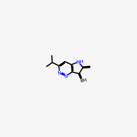 B=c1c(=C)[nH]c2cc(C(C)C)nnc12